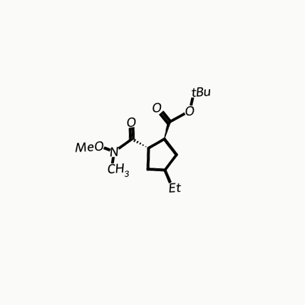 CCC1C[C@H](C(=O)OC(C)(C)C)[C@@H](C(=O)N(C)OC)C1